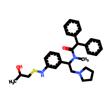 CC(O)CSNc1cccc(C(CN2CCCC2)N(C)C(=O)C(c2ccccc2)c2ccccc2)c1